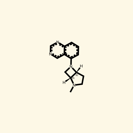 CN1CC[C@@H]2[C@H]1CN2c1cccc2ncncc12